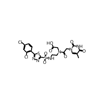 Cc1cn(CC(=O)N(CCNS(=O)(=O)c2nnc(-c3ccc(Cl)cc3Cl)s2)CC(=O)O)c(=O)[nH]c1=O